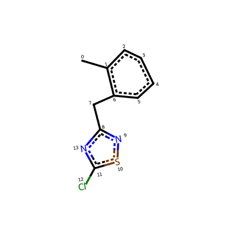 Cc1ccccc1Cc1nsc(Cl)n1